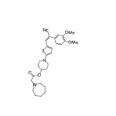 COc1ccc(C(C#N)=Cc2ccc(N3CCC(OC(=O)CN4CCCCCC4)CC3)s2)cc1OC